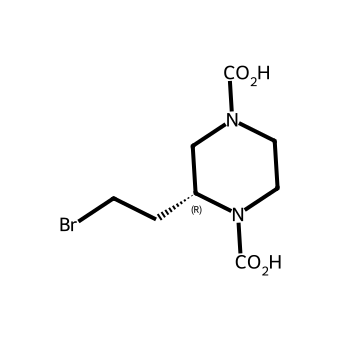 O=C(O)N1CCN(C(=O)O)[C@H](CCBr)C1